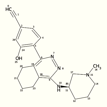 C#Cc1ccc(-c2nnc(N[C@@H]3CCCN(C)C3)c3c2CCCC3)c(O)c1